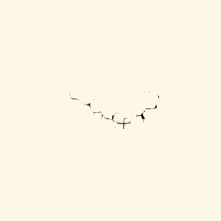 CCCCCCCC=C=CCC(=O)OCC(C)(C)[C@H](O)C(=O)NCCC(=O)NCCS